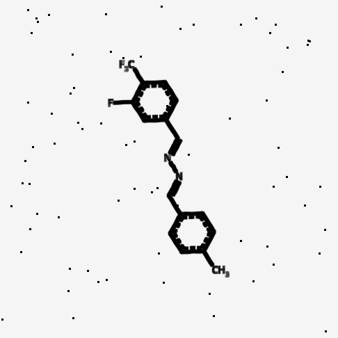 Cc1ccc(/C=N/N=C/c2ccc(C(F)(F)F)c(F)c2)cc1